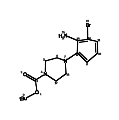 CC(C)(C)OC(=O)N1CCN(c2cccc(Br)c2N)CC1